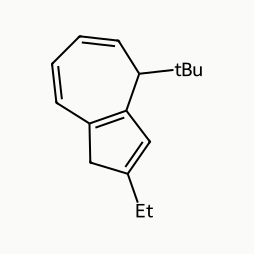 CCC1=CC2=C(C=CC=CC2C(C)(C)C)C1